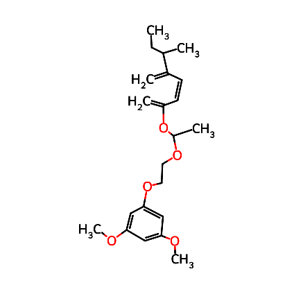 C=C(/C=C\C(=C)C(C)CC)OC(C)OCCOc1cc(OC)cc(OC)c1